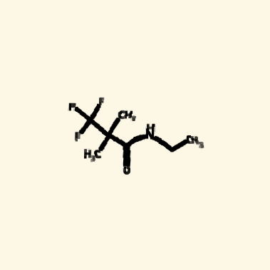 CCNC(=O)C(C)(C)C(F)(F)F